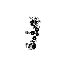 COC(=O)N[C@H](C(=O)N1C(c2nc3cc([C@H]4CC[C@H](c5ccc6[nH]c([C@@H]7C[C@@H]8CCC[C@@H]8N7C(=O)[C@@H](NC(=O)OC)C(C)C)nc6c5)N4c4ccc(C(C)(C)C)cc4)ccc3[nH]2)C[C@@H]2CCC[C@@H]21)C(C)C